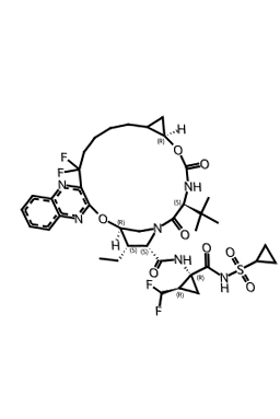 CC[C@@H]1[C@@H]2CN(C(=O)[C@H](C(C)(C)C)NC(=O)O[C@@H]3CC3CCCCC(F)(F)c3nc4ccccc4nc3O2)[C@@H]1C(=O)N[C@]1(C(=O)NS(=O)(=O)C2CC2)C[C@H]1C(F)F